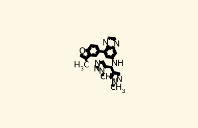 Cc1coc2ccc(-c3cc(N[C@H](c4cnn(C)c4)c4cnnn4C)cc4nccnc34)cc12